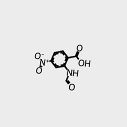 O=CNc1cc([N+](=O)[O-])ccc1C(=O)O